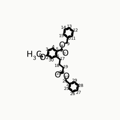 COc1ccc(C(=O)OCc2ccccc2)c(CCCC(=O)OCc2ccccc2)c1